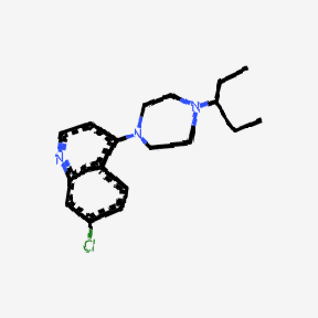 CCC(CC)N1CCN(c2ccnc3cc(Cl)ccc23)CC1